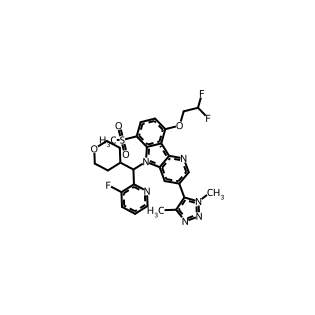 Cc1nnn(C)c1-c1cnc2c3c(OCC(F)F)ccc(S(C)(=O)=O)c3n(C(c3ncccc3F)C3CCOCC3)c2c1